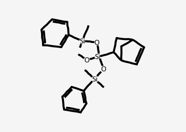 CO[Si](O[Si](C)(C)c1ccccc1)(O[Si](C)(C)c1ccccc1)C1CC2C=CC1C2